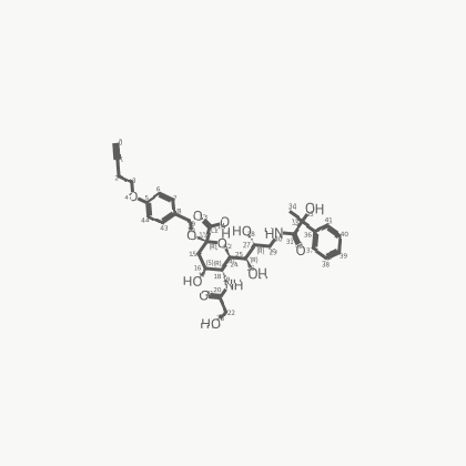 C#CCCOc1ccc(CO[C@]2(C(=O)O)C[C@H](O)[C@@H](NC(=O)CO)[C@H]([C@H](O)[C@H](O)CNC(=O)C(C)(O)c3ccccc3)O2)cc1